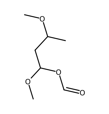 COC(C)CC(OC)OC=O